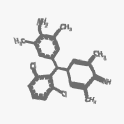 CC1=CC(C(c2cc(C)c(N)c(C)c2)c2c(Cl)cccc2Cl)C=C(C)C1=N